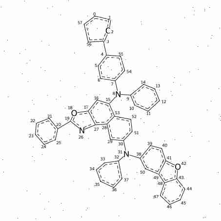 c1ccc(-c2ccc(N(c3ccccc3)c3cc4oc(-c5ccccc5)nc4c4cc(N(c5ccccc5)c5ccc6oc7ccccc7c6c5)ccc34)cc2)cc1